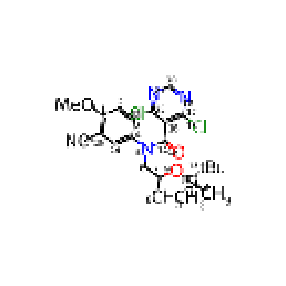 COc1ccc(N(CC(C)O[Si](C)(C)C(C)(C)C)C(=O)c2c(Cl)ncnc2Cl)cc1C#N